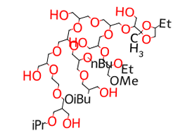 CCCCOC(COCC(CO)OCC(C)C)COC(COCC(CO)OCCOCC(CO)COC(C)C)COC(CO)COCC(COC(CO)C1(C)OCC(CC)O1)OCC(CO)OCC(COC)OCC